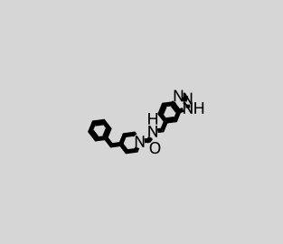 O=C(NCc1ccc2nn[nH]c2c1)N1CCC(Cc2ccccc2)CC1